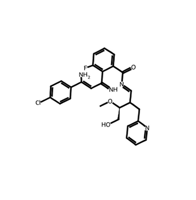 CO[C@H](CO)C(/C=N/C(=O)c1cccc(F)c1C(=N)/C=C(\N)c1ccc(Cl)cc1)Cc1ccccn1